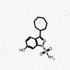 NS(=O)(=O)n1nc(C2CCCCCC2)c2ccc(O)cc21